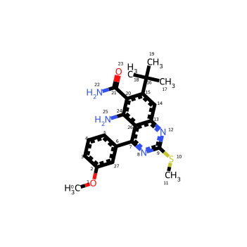 COc1cccc(-c2nc(SC)nc3cc(C(C)(C)C)c(C(N)=O)c(N)c23)c1